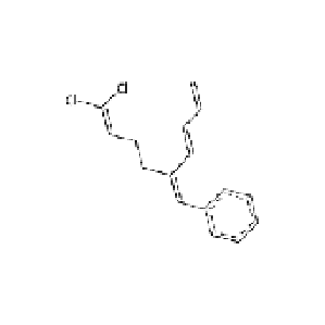 C=CC=CC(=Cc1ccccc1)CCC=C(Cl)Cl